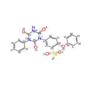 CS(=O)(=O)c1cc(-n2c(=O)[nH]c(=O)n(-c3ccccc3)c2=O)ccc1Oc1ccccc1